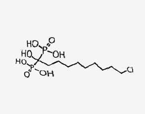 O=P(O)(O)C(O)(CCCCCCCCCCl)P(=O)(O)O